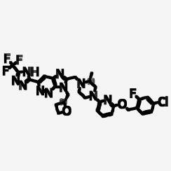 C[C@H]1CN(c2cccc(OCc3ccc(Cl)cc3F)n2)CCN1Cc1nc2cc(-c3nnc(C(F)(F)F)[nH]3)nnc2n1C[C@@H]1CCO1